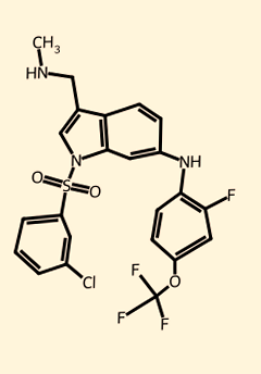 CNCc1cn(S(=O)(=O)c2cccc(Cl)c2)c2cc(Nc3ccc(OC(F)(F)F)cc3F)ccc12